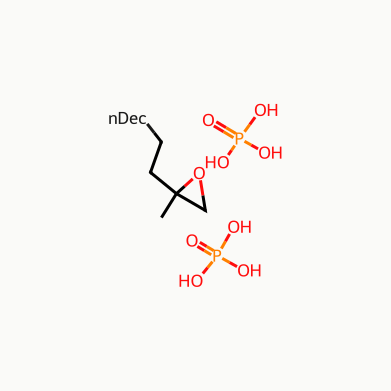 CCCCCCCCCCCCC1(C)CO1.O=P(O)(O)O.O=P(O)(O)O